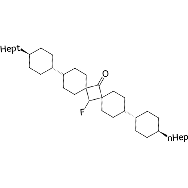 CCCCCCC[C@H]1CC[C@H](C2CCC3(CC2)C(=O)C2(CCC([C@H]4CC[C@H](CCCCCCC)CC4)CC2)C3F)CC1